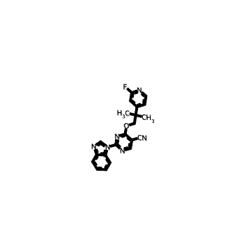 CC(C)(COc1nc(-n2cnc3ccccc32)ncc1C#N)c1ccnc(F)c1